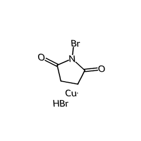 Br.O=C1CCC(=O)N1Br.[Cu]